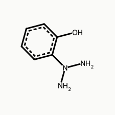 NN(N)c1ccccc1O